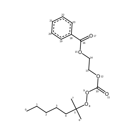 CCCCCC(C)(C)OOC(=O)OCCOC(=O)c1ccccc1